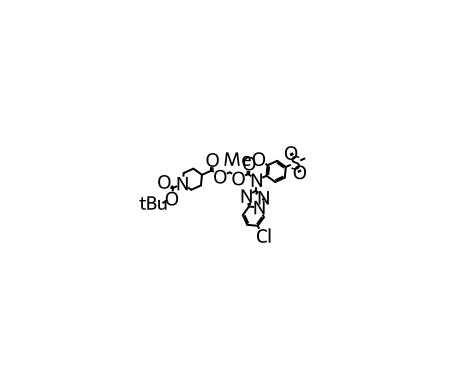 COc1cc(S(C)(=O)=O)ccc1N(C(=O)OCOC(=O)C1CCN(C(=O)OC(C)(C)C)CC1)c1nc2ccc(Cl)cn2n1